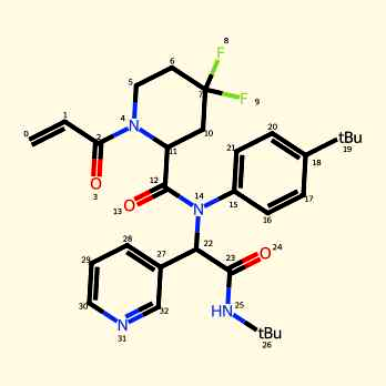 C=CC(=O)N1CCC(F)(F)CC1C(=O)N(c1ccc(C(C)(C)C)cc1)C(C(=O)NC(C)(C)C)c1cccnc1